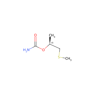 CSC[C@H](C)OC(N)=O